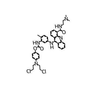 Cc1ccc(Nc2c3ccccc3nc3c(C(=O)NCCN(C)C)cccc23)cc1NC(=O)Oc1ccc(N(CCCl)CCCl)cc1